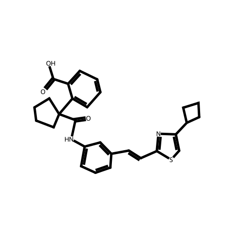 O=C(O)c1ccccc1C1(C(=O)Nc2cccc(C=Cc3nc(C4CCC4)cs3)c2)CCCC1